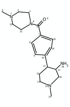 CN1CCN(C(=O)c2ccc(C3CCN(C)CC3N)cc2)CC1